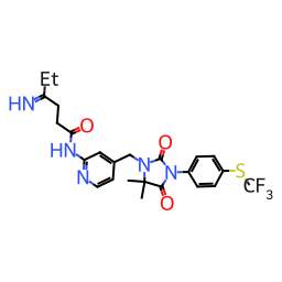 CCC(=N)CCC(=O)Nc1cc(CN2C(=O)N(c3ccc(SC(F)(F)F)cc3)C(=O)C2(C)C)ccn1